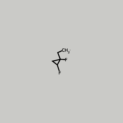 [CH2]CC1(F)CC1F